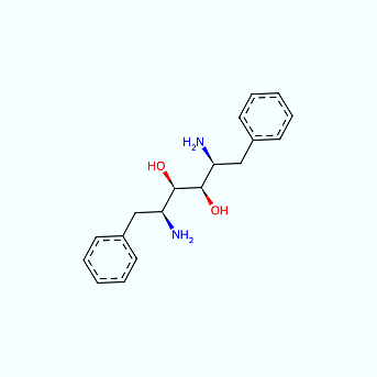 N[C@@H](Cc1ccccc1)[C@@H](O)[C@H](O)[C@@H](N)Cc1ccccc1